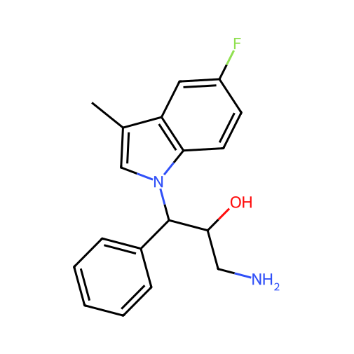 Cc1cn(C(c2ccccc2)C(O)CN)c2ccc(F)cc12